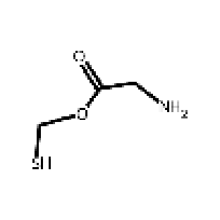 NCC(=O)OCS